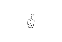 [NH]C12CC3CC(C1)C(C3)C2